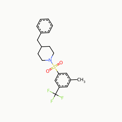 Cc1cc(C(F)(F)F)cc(S(=O)(=O)N2CCC(Cc3ccccc3)CC2)c1